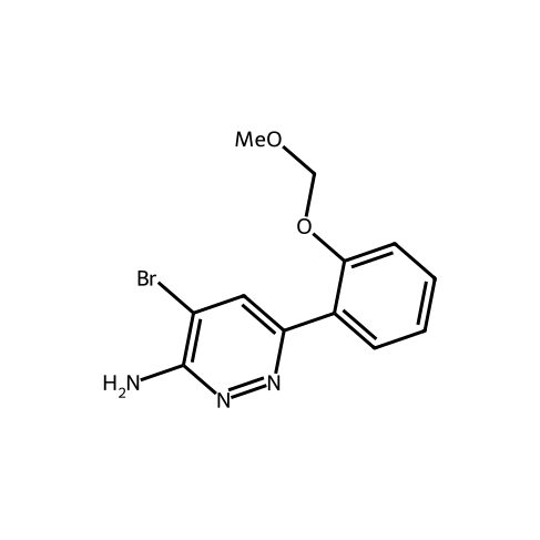 COCOc1ccccc1-c1cc(Br)c(N)nn1